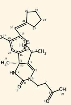 CC(C)C1=CN(CCC(=O)O)C(=O)N[C@@]1(C)c1ccc(C=C2CCCC2)c(Cl)c1